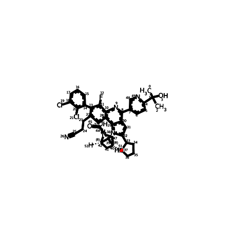 CC(C)(O)c1ccc(-c2nc3c(F)c(-c4cccc(Cl)c4Cl)c(CCC#N)cc3c3c2cc(C2CCCN2)n3[C@H]2[C@@H]3C[C@H]2N(C(=O)O)C3)cn1